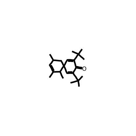 CC1=CC(C)CC2(C=C(C(C)(C)C)C(=O)C(C(C)(C)C)=C2)C1C